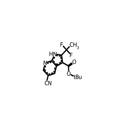 CC(C)(C)OC(=O)c1c(C(C)(F)F)[nH]c2ncc(C#N)cc12